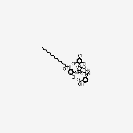 CCCCCCCCCCCCCC(=O)Nc1ccc(Cl)c(NC2=NN(c3c(Cl)cc(Cl)cc3Cl)C(=O)C2Sc2nnnn2-c2cccc(C(=O)O)c2)c1